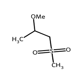 COC(C)CS(C)(=O)=O